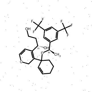 C[C@@H](OC1(C2=C([C@@H](O)CCO)C=COC2)C=CCCC1)c1cc(C(F)(F)F)cc(C(F)(F)F)c1